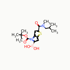 CC(C)CN(C)C(=O)c1cc2c(cc(B(O)O)n2C(=O)OC(C)(C)C)s1